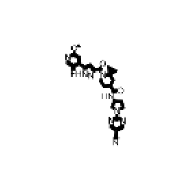 COc1cc(-c2cc(C(=O)N3CCC(C(=O)NC4CCN(c5ncc(C#N)cn5)C4)CC34CC4)n[nH]2)c(F)cn1